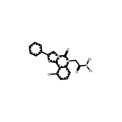 CCN(CC)C(=O)Cn1c(=O)n2cc(-c3ccccc3)nc2c2c(Cl)cccc21